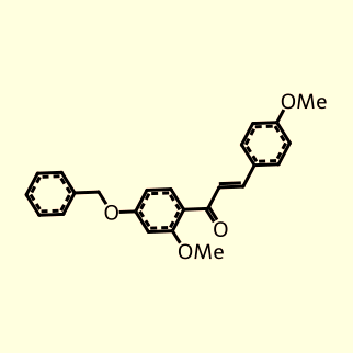 COc1ccc(C=CC(=O)c2ccc(OCc3ccccc3)cc2OC)cc1